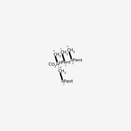 CC(=O)O.CCCCCC.CCCCCC.CCCCCC